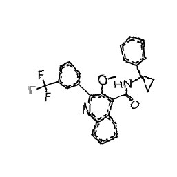 COc1c(-c2cccc(C(F)(F)F)c2)nc2ccccc2c1C(=O)NC1(c2ccccc2)CC1